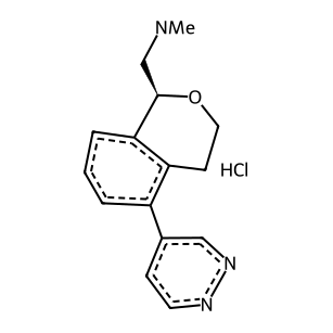 CNC[C@H]1OCCc2c(-c3ccnnc3)cccc21.Cl